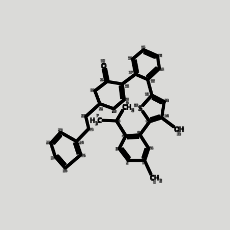 Cc1ccc(C(C)C)c(-c2sc(-c3ccccc3C3=CCC(CCc4ccccc4)CC3=O)cc2O)c1